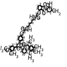 C=C1CCC(N2C(=O)c3cccc(OCC(=O)NCCCCCCNC(=O)COc4ccc([C@H](CCc5ccc(OC)c(C)c5)OC(=O)[C@H]5CCCCN5C(=O)[C@H](CC)c5cc(C)c(C)c(C)c5)cc4)c3C2=O)C(=O)N1